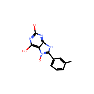 Cc1cccc(-c2[nH]c3nc(O)nc(O)c3[n+]2[O-])c1